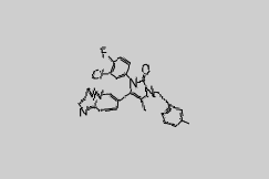 Cc1cccc(Cn2c(C)c(-c3ccc4ncnn4c3)n(-c3ccc(F)c(Cl)c3)c2=O)c1